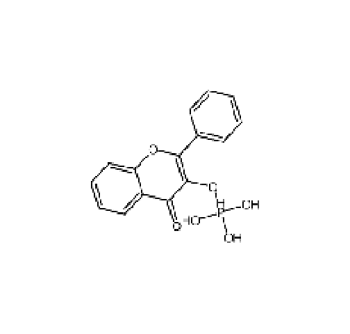 O=c1c(O[PH](O)(O)O)c(-c2ccccc2)oc2ccccc12